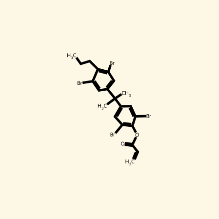 C=CC(=O)Oc1c(Br)cc(C(C)(C)c2cc(Br)c(CCC)c(Br)c2)cc1Br